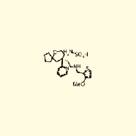 COc1ccsc1CNCC[C@@]1(c2ccccn2)CCOC2(CCCC2)C1.NS(=O)(=O)O